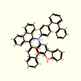 c1ccc(-c2ccccc2-c2ccc(N(c3ccc4oc5ccccc5c4c3)c3c(-c4ccc5ccccc5c4)c4ccccc4c4ccccc34)cc2)cc1